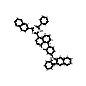 c1ccc(-c2nc(-c3ccc4ccccc4c3)nc(-c3ccc4c5c(cccc35)-c3ccc(-n5c6ccccc6c6cc7ccccc7cc65)cc3S4)n2)cc1